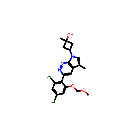 COCOc1cc(Cl)cc(Cl)c1-c1cc2c(C)cn(C3CC(C)(O)C3)c2nn1